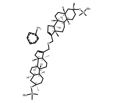 CC(C)(C)[Si](C)(C)O[C@]1(C)CC[C@H]2[C@H](CC[C@@H]3[C@@H]2CC[C@]2(C)C(COCC4=CC[C@H]5[C@@H]6CC[C@@H]7C[C@](C)(O[Si](C)(C)C(C)(C)C)CC[C@@H]7[C@H]6CC[C@]45C)=CC[C@@H]32)C1.Pc1ccccc1